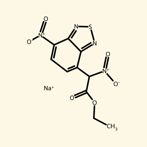 CCOC(=O)C(c1ccc([N+](=O)[O-])c2nsnc12)[N+](=O)[O-].[Na+]